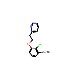 O=Cc1cccc(OCCc2ccccn2)c1Cl